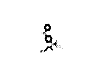 CC(C)CCC(C)N(C(=O)C(Cl)(Cl)Cl)c1ccc(Nc2ccccc2)cc1